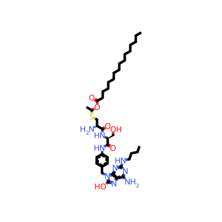 CCCCCCCCCCCCCCCC(=O)OC(C)SC[C@H](N)C(=O)N[C@@H](CO)C(=O)Nc1ccc(Cn2c(O)nc3c(N)nc(NCCCC)nc32)cc1